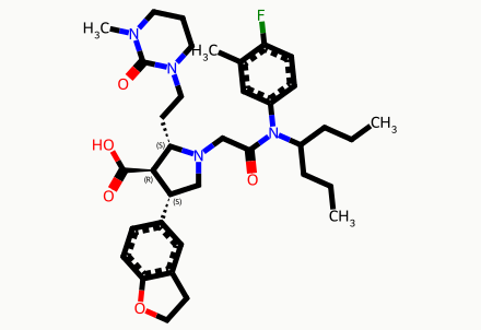 CCCC(CCC)N(C(=O)CN1C[C@H](c2ccc3c(c2)CCO3)[C@@H](C(=O)O)[C@@H]1CCN1CCCN(C)C1=O)c1ccc(F)c(C)c1